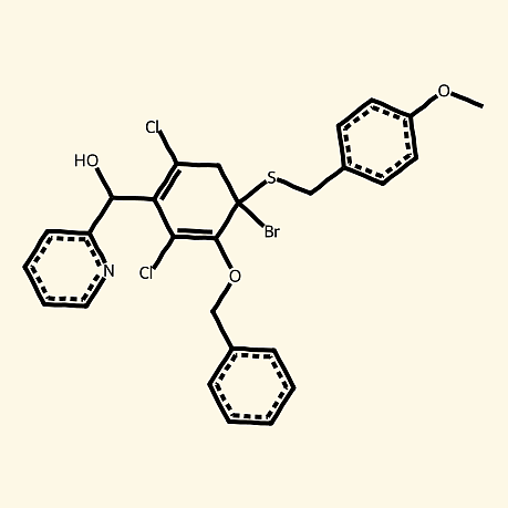 COc1ccc(CSC2(Br)CC(Cl)=C(C(O)c3ccccn3)C(Cl)=C2OCc2ccccc2)cc1